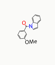 COc1cccc(C(=O)n2ccc3ccccc32)c1